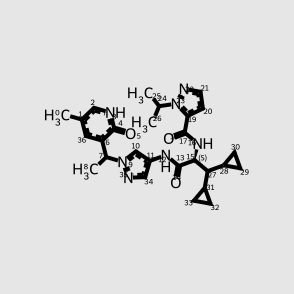 Cc1c[nH]c(=O)c(C(C)n2cc(NC(=O)[C@@H](NC(=O)c3ccnn3C(C)C)C(C3CC3)C3CC3)cn2)c1